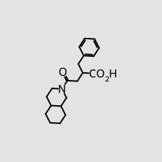 O=C(O)C(CC(=O)N1CCC2CCCCC2C1)Cc1ccccc1